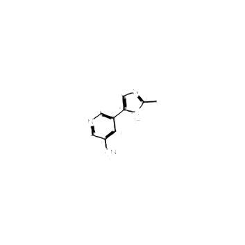 Cc1ncc(-c2cncc(C#N)c2)[nH]1